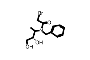 CC([C@H](O)CO)N(Cc1ccccc1)C(=O)CBr